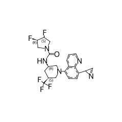 O=C(N[C@@H]1C[C@H](C(F)(F)F)CN(c2ccc(C3C=N3)c3ncccc23)C1)N1C[C@@H](F)[C@@H](F)C1